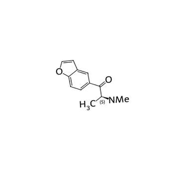 CN[C@@H](C)C(=O)c1ccc2occc2c1